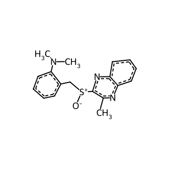 Cc1nc2ccccc2nc1[S+]([O-])Cc1ccccc1N(C)C